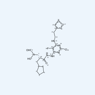 O=CN(O)C[C@@H](CC1CCCC1)C(=O)NNc1nc(Cl)nc(NCCc2ccoc2)c1F